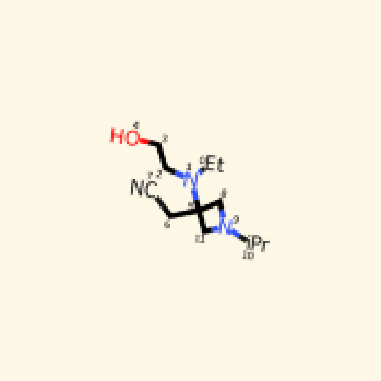 CCN(CCO)C1(CC#N)CN(C(C)C)C1